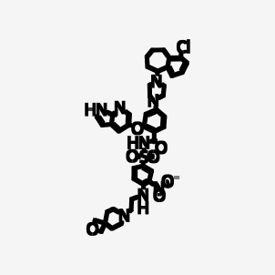 O=C(NS(=O)(=O)c1ccc(NCCN2CCC3(CC2)COC3)c([N+](=O)[O-])c1)c1ccc(N2CCN(C3CCCCc4c(Cl)cccc43)CC2)cc1Oc1cnc2[nH]ccc2c1